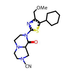 COCc1nc(N2CCN3CCN(C#N)CC3C2=O)sc1C1CCCCC1